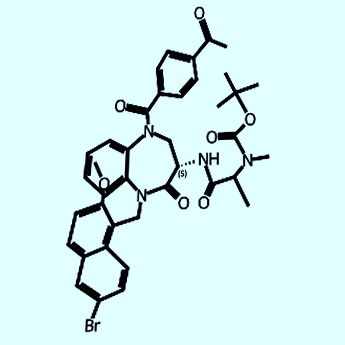 COc1ccc2cc(Br)ccc2c1CN1C(=O)[C@@H](NC(=O)C(C)N(C)C(=O)OC(C)(C)C)CN(C(=O)c2ccc(C(C)=O)cc2)c2ccccc21